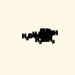 CCCCCCCOc1c(C(C)C)cc(C(=O)C(=O)O)cc1C(C)C